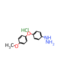 COc1ccc(Oc2ccc(NN)cc2)cc1.Cl